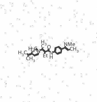 C/C=C(\NC)c1ccc(NC(=O)/C(CC)=C(\C)N(C)/C=C\C(C)=C(C)C)cc1